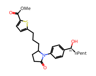 CCCCC[C@H](O)c1ccc(N2C(=O)CCC2CCCc2ccc(C(=O)OC)s2)cc1